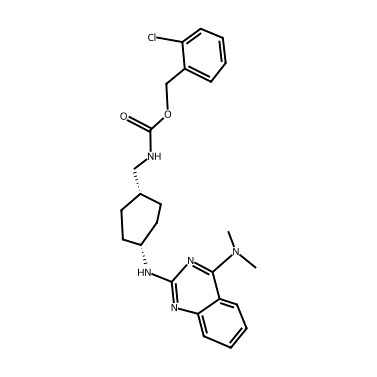 CN(C)c1nc(N[C@H]2CC[C@@H](CNC(=O)OCc3ccccc3Cl)CC2)nc2ccccc12